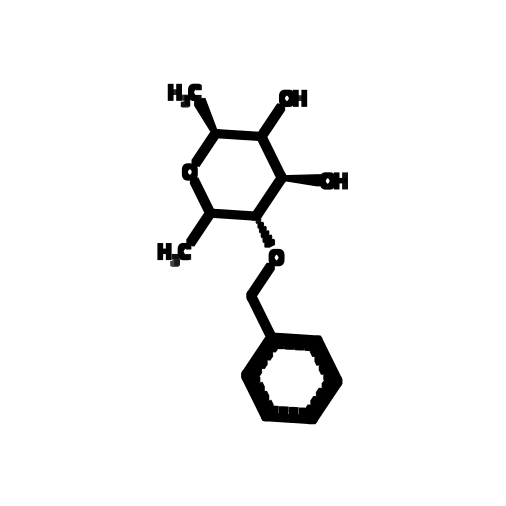 CC1O[C@@H](C)C(O)[C@@H](O)[C@@H]1OCc1ccccc1